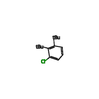 CC(C)(C)c1cccc(Cl)c1C(C)(C)C